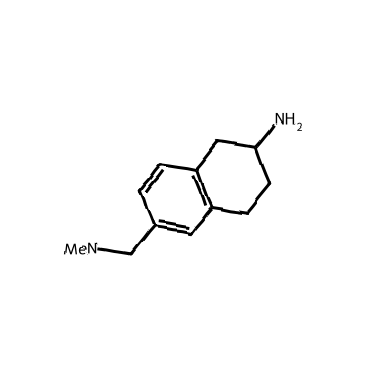 CNCc1ccc2c(c1)CCC(N)C2